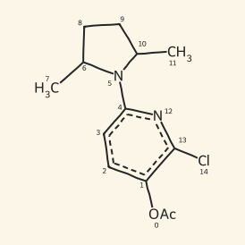 CC(=O)Oc1ccc(N2C(C)CCC2C)nc1Cl